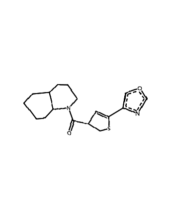 O=C(C1C=C(c2cocn2)SC1)N1CCCC2CCCCC21